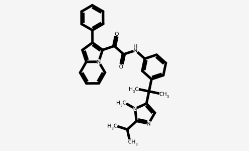 CC(C)c1ncc(C(C)(C)c2cccc(NC(=O)C(=O)c3c(-c4ccccc4)cc4ccccn34)c2)n1C